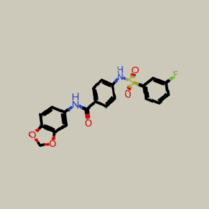 O=C(Nc1ccc2c(c1)OCO2)c1ccc(NS(=O)(=O)c2cccc(F)c2)cc1